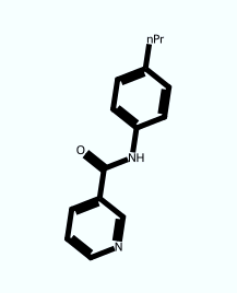 CCCc1ccc(NC(=O)c2cccnc2)cc1